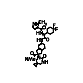 CNC(=O)C1(N2CC3(CC3)CNC2=O)Cc2ccc(NC(=O)[C@@H](NC(=O)c3ccnn3C)C3CCC(F)(F)CC3)cc2C1